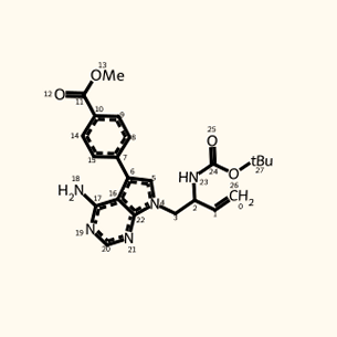 C=CC(Cn1cc(-c2ccc(C(=O)OC)cc2)c2c(N)ncnc21)NC(=O)OC(C)(C)C